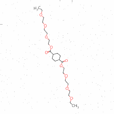 CCOCCOCCOCCOC(=O)C1CCC(C(=O)OCCOCCOCCOCC)CC1